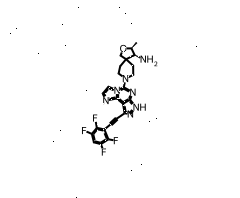 C[C@@H]1OCC2(CCN(c3nc4[nH]nc(C#Cc5c(F)c(F)cc(F)c5F)c4c4nccn34)CC2)[C@@H]1N